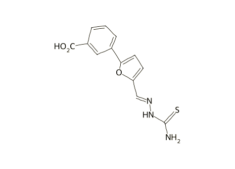 NC(=S)N/N=C/c1ccc(-c2cccc(C(=O)O)c2)o1